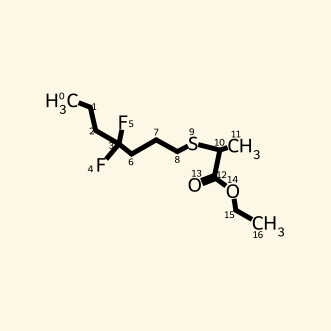 CCCC(F)(F)CCCSC(C)C(=O)OCC